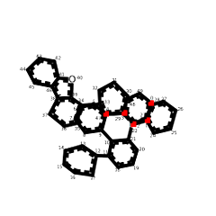 c1ccc(-c2ccccc2-c2c(-c3ccccc3)cccc2N(c2ccccc2)c2cccc(-c3cccc4c3oc3ccccc34)c2)cc1